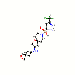 Cn1nc(C(F)(F)F)cc1S(=O)(=O)N1CCC2(CC1)CC(NC1CC3(COC3)C1)CO2